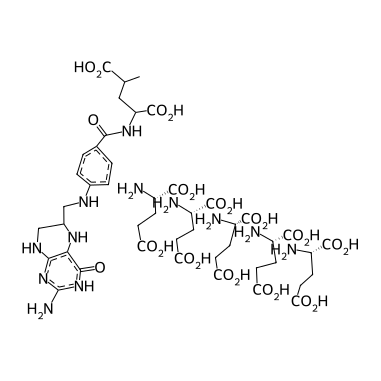 CC(CC(NC(=O)c1ccc(NCC2CNc3nc(N)[nH]c(=O)c3N2)cc1)C(=O)O)C(=O)O.N[C@@H](CCC(=O)O)C(=O)O.N[C@@H](CCC(=O)O)C(=O)O.N[C@@H](CCC(=O)O)C(=O)O.N[C@@H](CCC(=O)O)C(=O)O.N[C@@H](CCC(=O)O)C(=O)O